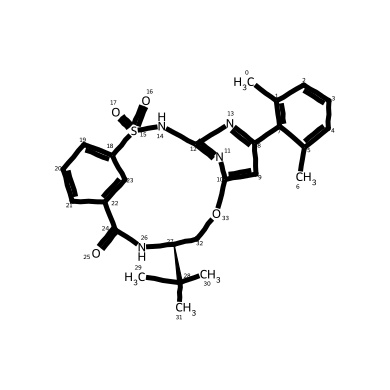 Cc1cccc(C)c1-c1cc2nc(n1)NS(=O)(=O)c1cccc(c1)C(=O)N[C@H](C(C)(C)C)CO2